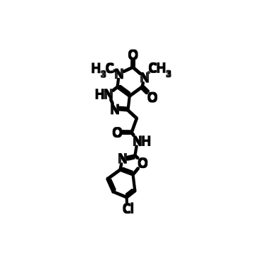 Cn1c(=O)c2c(CC(=O)Nc3nc4ccc(Cl)cc4o3)n[nH]c2n(C)c1=O